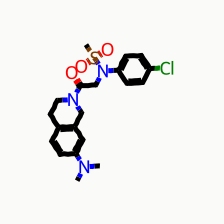 CN(C)c1ccc2c(c1)CN(C(=O)CN(c1ccc(Cl)cc1)S(C)(=O)=O)CC2